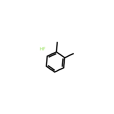 Cc1ccccc1C.F